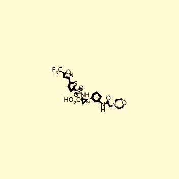 O=C(CN1CCOCC1)Nc1cccc([C@@H]2C[C@]2(NS(=O)(=O)c2ccc(-c3cc(C(F)(F)F)on3)s2)C(=O)O)c1